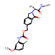 CCC[C@@H](C(=O)NC=O)N1Cc2ccc(COC(=O)Nc3cc(OC(F)(F)F)ccc3F)cc2C1=O